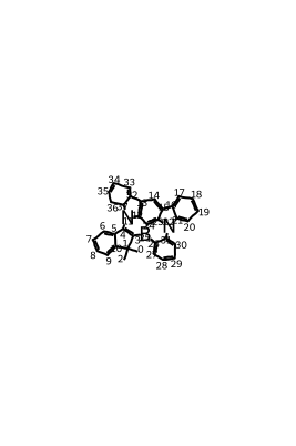 CC1(C)C2=C(c3ccccc31)N1c3c(cc4c5ccccc5n5c4c3B2c2ccccc2-5)C2=CC=CCC21